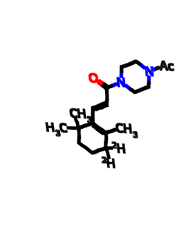 [2H]C1([2H])CCC(C)(C)C(/C=C/C(=O)N2CCN(C(C)=O)CC2)=C1C